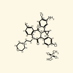 CS(=O)(=O)O.Nc1cc(C2(N3C(=O)c4cc(I)ccc4N(CCN4CCOCC4)C(=O)C3c3ccc(Cl)cc3)CC2)ccc1Cl